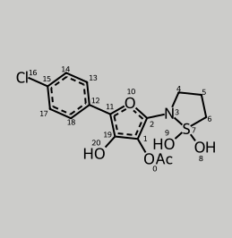 CC(=O)Oc1c(N2CCCS2(O)O)oc(-c2ccc(Cl)cc2)c1O